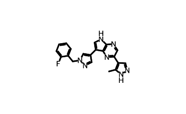 Cc1[nH]ncc1-c1cnc2[nH]cc(-c3cnn(Cc4ccccc4F)c3)c2n1